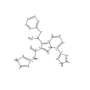 CN(Cc1ccccc1)c1c(C(=O)Nc2cn[nH]c2)nn2c(-c3cn[nH]c3)ccnc12